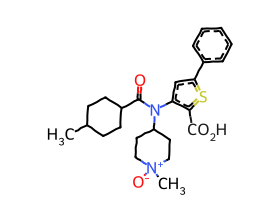 CC1CCC(C(=O)N(c2cc(-c3ccccc3)sc2C(=O)O)C2CC[N+](C)([O-])CC2)CC1